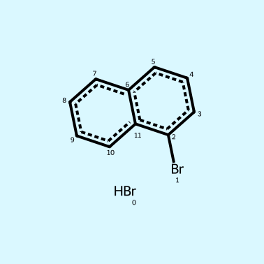 Br.Brc1cccc2ccccc12